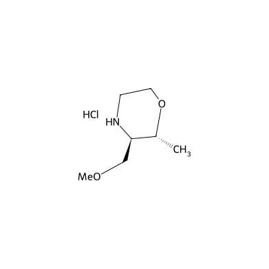 COC[C@H]1NCCO[C@@H]1C.Cl